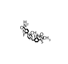 CC1CN(Cc2ccc3c(=S)n(C)c(=O)[nH]c3c2)CCN1c1ccc(C(N)=O)nc1F